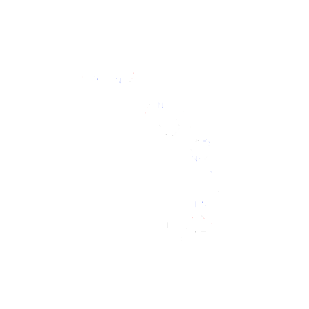 CON1CCN(C(=O)CCC(=O)Nc2cccc(Sc3cnc(N4CCC(C)(CNC(=O)OC(C)(C)C)CC4)cn3)c2Cl)CC1